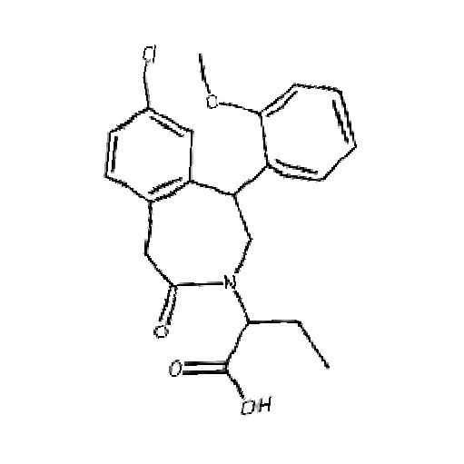 CCC(C(=O)O)N1CC(c2ccccc2OC)c2cc(Cl)ccc2CC1=O